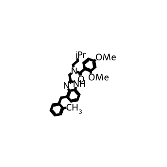 COc1ccc(C(=O)N(CCC(C)C)Cc2nc3c(Cc4ccccc4C)cccc3[nH]2)c(OC)c1